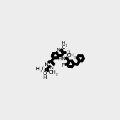 Cc1nc2ccc(-c3cnc(C(C)(C)O)nc3)cc2c(NC(C)c2cc(Cc3ccccc3)ccc2F)c1Cl